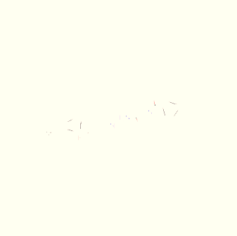 COc1cccc(C2(O)CCC(N3C[C@H](NC(=O)CNC(=O)c4cccc(C(F)(F)F)c4)[C@@H](O)C3)CC2)c1